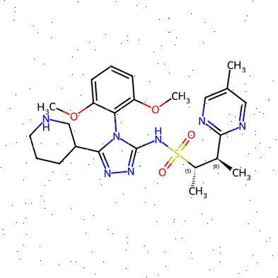 COc1cccc(OC)c1-n1c(NS(=O)(=O)[C@@H](C)[C@H](C)c2ncc(C)cn2)nnc1C1CCCNC1